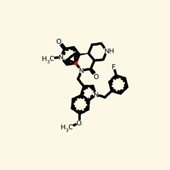 COc1ccc2c(CN(C(=O)C3CNCC[C@@H]3c3ccn(C)c(=O)c3)C3CC3)cn(Cc3cccc(F)c3)c2c1